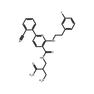 N#Cc1ccccc1-c1ccc(C(=O)NCC(CN)C(N)=O)c(NCCc2cccc(F)c2)n1